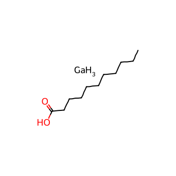 CCCCCCCCCCC(=O)O.[GaH3]